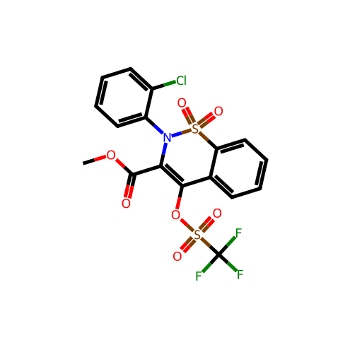 COC(=O)C1=C(OS(=O)(=O)C(F)(F)F)c2ccccc2S(=O)(=O)N1c1ccccc1Cl